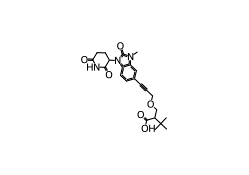 Cn1c(=O)n(C2CCC(=O)NC2=O)c2ccc(C#CCOCC(C(=O)O)C(C)(C)C)cc21